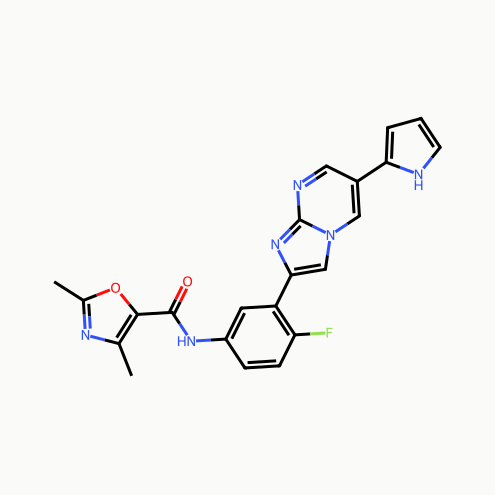 Cc1nc(C)c(C(=O)Nc2ccc(F)c(-c3cn4cc(-c5ccc[nH]5)cnc4n3)c2)o1